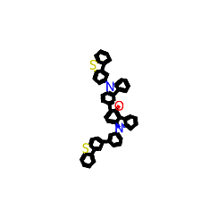 c1cc(-c2ccc3sc4ccccc4c3c2)cc(-n2c3ccccc3c3c4oc5c(ccc6c5c5ccccc5n6-c5ccc6sc7ccccc7c6c5)c4ccc32)c1